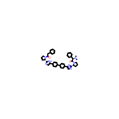 CN(C)[C@@H](C(=O)N1CCC[C@H]1c1ncc(-c2ccc(-c3ccc(-c4cnc([C@@H]5C=CCN5C(=O)Cc5ccccc5)[nH]4)cc3)cc2)[nH]1)c1ccccc1